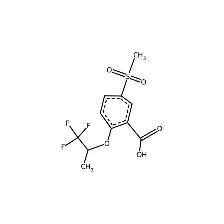 CC(Oc1ccc(S(C)(=O)=O)cc1C(=O)O)C(F)(F)F